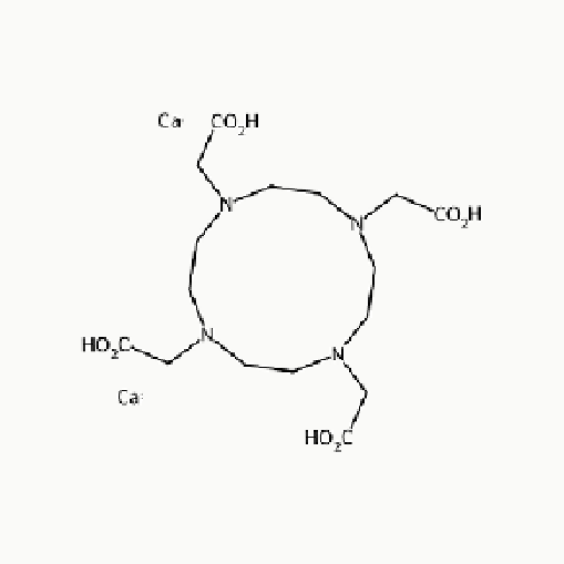 O=C(O)CN1CCN(CC(=O)O)CCN(CC(=O)O)CCN(CC(=O)O)CC1.[Ca].[Ca]